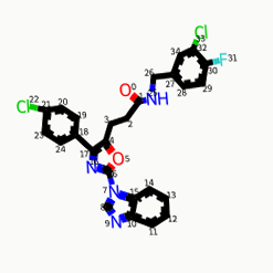 O=C(CCc1oc(-n2cnc3ccccc32)nc1-c1ccc(Cl)cc1)NCc1ccc(F)c(Cl)c1